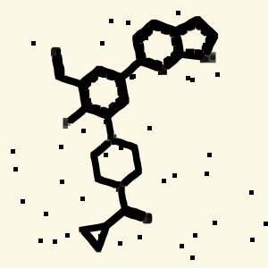 O=Cc1cc(-c2ccc3cc[nH]c3n2)cc(N2CCN(C(=O)C3CC3)CC2)c1F